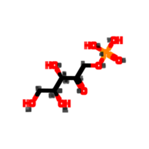 O=C(COP(=O)(O)O)[C@H](O)[C@@H](O)CO